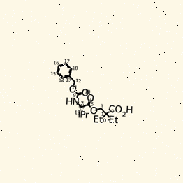 CCC(CC)(COC(=O)[C@@H](NC(=O)OCc1ccccc1)C(C)C)C(=O)O